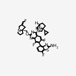 Nc1nc2c(-c3c(F)cc4c(N5C[C@@H]6CC[C@](C7CC7)(C5)N6)nc(OC[C@@]56CCCN5C/C(=C/F)C6)nc4c3F)ccc(F)c2s1